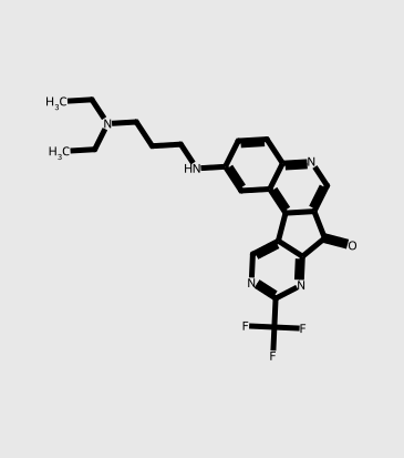 CCN(CC)CCCNc1ccc2ncc3c(c2c1)-c1cnc(C(F)(F)F)nc1C3=O